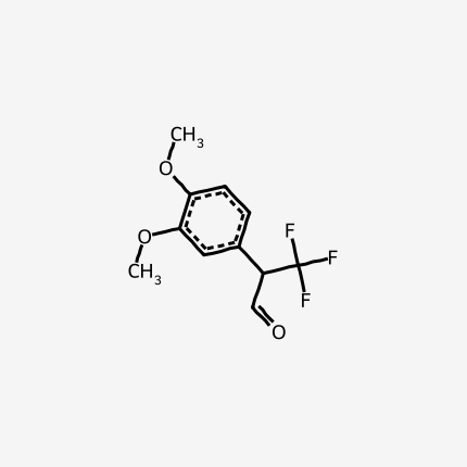 COc1ccc(C(C=O)C(F)(F)F)cc1OC